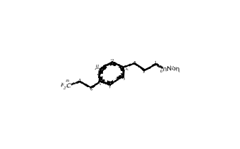 CCCCCCCCCCCCc1ccc(CCC(F)(F)F)cc1